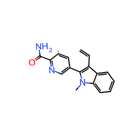 C=Cc1c(-c2c[c]c(C(N)=O)nc2)n(C)c2ccccc12